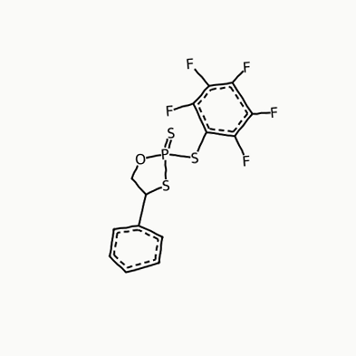 Fc1c(F)c(F)c(SP2(=S)OCC(c3ccccc3)S2)c(F)c1F